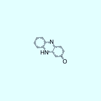 O=c1ccc2nc3ccccc3[nH]c-2c1